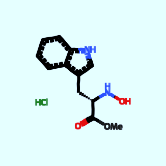 COC(=O)[C@H](Cc1c[nH]c2ccccc12)NO.Cl